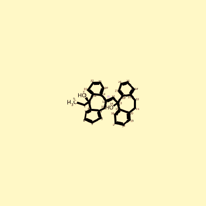 CCC1(O)c2ccccc2C/C(=C\C2(O)c3ccccc3CCc3ccccc32)c2ccccc21